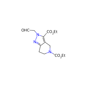 CCOC(=O)c1c2c(nn1CC=O)CCN(C(=O)OCC)C2